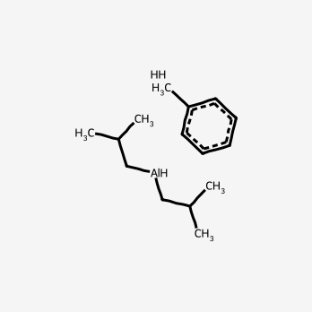 CC(C)[CH2][AlH][CH2]C(C)C.Cc1ccccc1.[HH]